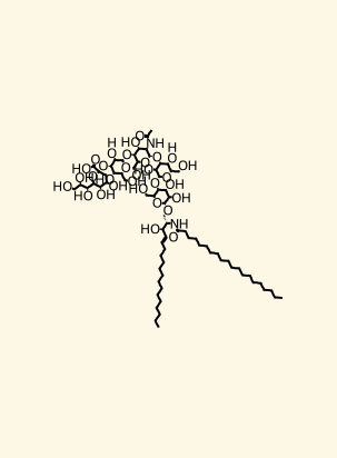 CCCCCCCCCCCCC/C=C/[C@@H](O)[C@H](CO[C@@H]1OC(CO)[C@@H](O[C@@H]2OC(CO)[C@H](O)[C@H](O[C@@H]3OC(CO)[C@@H](O[C@@H]4OC(CO)[C@H](O)[C@H](O[C@]5(C(=O)O)CC(O)[C@@H](O)C([C@H](O)[C@H](O)CO)O5)C4O)[C@H](O)C3NC(C)=O)C2O)[C@H](O)C1O)NC(=O)CCCCCCCCCCCCCCCCCCC